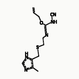 C=CCO/C(=N\CCSCc1[nH]cnc1C)NC#N